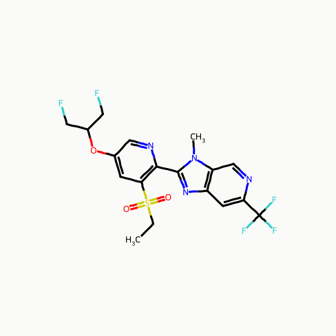 CCS(=O)(=O)c1cc(OC(CF)CF)cnc1-c1nc2cc(C(F)(F)F)ncc2n1C